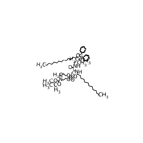 C=CCOP(=O)(OCCNC(=O)OC(C)(C)C)OC[C@H](NC(=O)CCCCCCCCCCC)C(=O)NCCC(CCCCCCCCCCCCC)O[Si](c1ccccc1)(c1ccccc1)C(C)(C)C